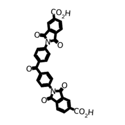 O=C(O)c1ccc2c(c1)C(=O)N(c1ccc(C(=O)c3ccc(N4C(=O)c5ccc(C(=O)O)cc5C4=O)cc3)cc1)C2=O